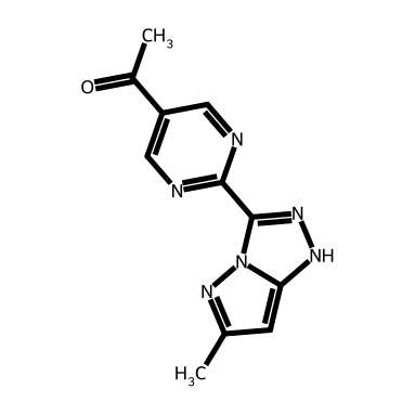 CC(=O)c1cnc(-c2n[nH]c3cc(C)nn23)nc1